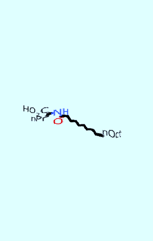 CCCCCCCC/C=C\CCCCCCCC(=O)NC(CCC)C(=O)O